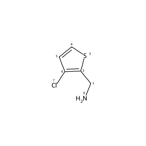 NCc1sccc1Cl